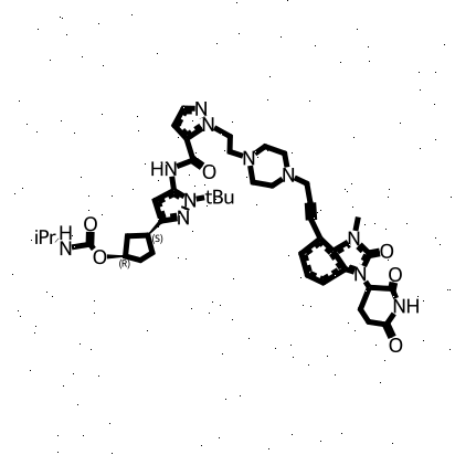 CC(C)NC(=O)O[C@@H]1CC[C@H](c2cc(NC(=O)c3ccnn3CCN3CCN(CC#Cc4cccc5c4n(C)c(=O)n5C4CCC(=O)NC4=O)CC3)n(C(C)(C)C)n2)C1